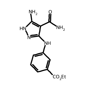 CCOC(=O)c1cccc(Nc2n[nH]c(N)c2C(N)=O)c1